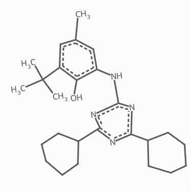 Cc1cc(Nc2nc(C3CCCCC3)nc(C3CCCCC3)n2)c(O)c(C(C)(C)C)c1